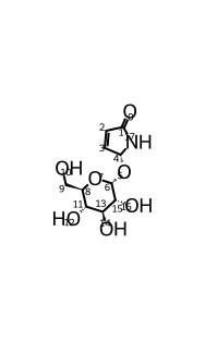 O=C1C=C[C@@H](O[C@H]2O[C@H](CO)[C@@H](O)[C@H](O)[C@H]2O)N1